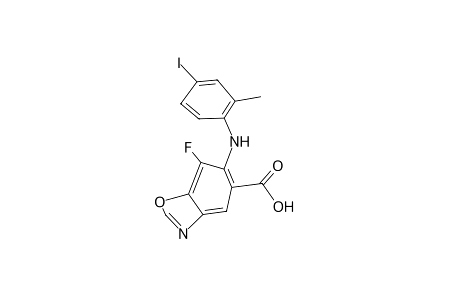 Cc1cc(I)ccc1Nc1c(C(=O)O)cc2ncoc2c1F